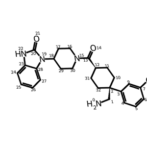 NC[C@]1(c2cccc(Cl)c2)CC[C@H](C(=O)N2CCC(n3c(=O)[nH]c4ccccc43)CC2)CC1